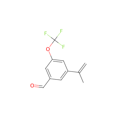 C=C(C)c1cc(C=O)cc(OC(F)(F)F)c1